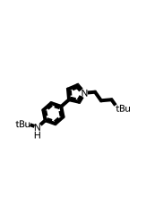 CC(C)(C)CCCn1ccc(-c2ccc(NC(C)(C)C)cc2)c1